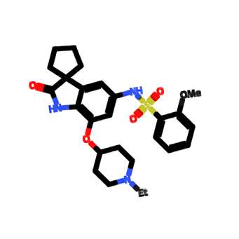 CCN1CCC(Oc2cc(NS(=O)(=O)c3ccccc3OC)cc3c2NC(=O)C32CCCC2)CC1